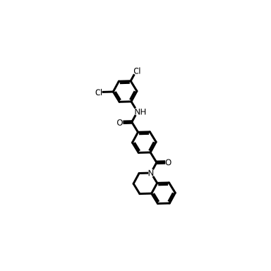 O=C(Nc1cc(Cl)cc(Cl)c1)c1ccc(C(=O)N2CCCc3ccccc32)cc1